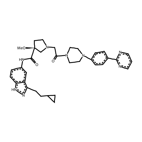 CO[C@@]1(C(=O)Nc2ccc3[nH]nc(CCC4CC4)c3c2)CCN(CC(=O)N2CCN(c3ccc(-c4ncccn4)cc3)CC2)C1